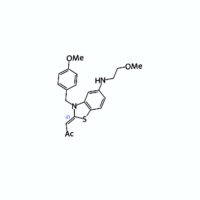 COCCNc1ccc2c(c1)N(Cc1ccc(OC)cc1)/C(=C/C(C)=O)S2